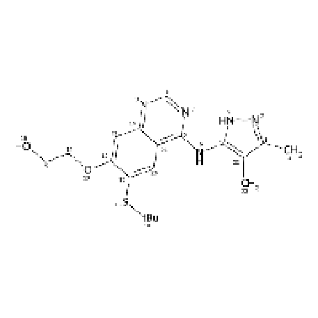 Cc1n[nH]c(Nc2ncnc3cc(OCCO)c(SC(C)(C)C)cc23)c1C